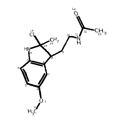 COc1ccc2c(c1)C(CCNC(C)=O)C(C)(Cl)N2